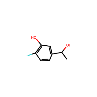 CC(O)c1ccc(F)c(O)c1